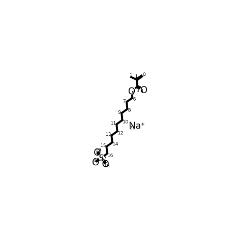 C=C(C)C(=O)OCCCCCCCCCCCS(=O)(=O)[O-].[Na+]